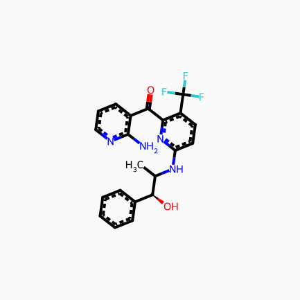 CC(Nc1ccc(C(F)(F)F)c(C(=O)c2cccnc2N)n1)[C@@H](O)c1ccccc1